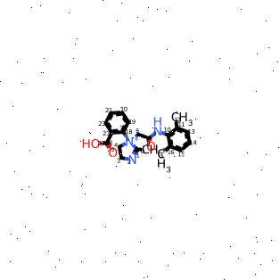 CC1=NCC[N+]1(CC(=O)Nc1c(C)cccc1C)c1ccccc1C(=O)O